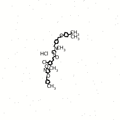 Cc1ccc(COc2ccc(Oc3c(C)cc(/C=C/C(=O)N4CC[C@H](N(C)Cc5ccc(CCOc6ccc(C(C)C)cc6)cc5)C4)cc3Cl)nc2)cc1.Cl